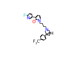 O=c1c(-c2ccc(F)nc2)cccn1CCCCN1C[C@@H]2C[C@]2(c2ccc(C(F)(F)F)cc2)C1